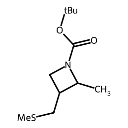 CSCC1CN(C(=O)OC(C)(C)C)C1C